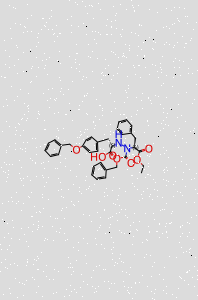 CCOC(=O)[C@H](Cc1ccccc1)N(N[C@@H](Cc1ccc(OCc2ccccc2)cc1)C(=O)O)C(=O)OCc1ccccc1